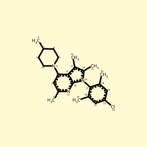 Cc1cc(N2CCC(C)CC2)c2c(C)c(C)n(-c3c(C)cc(Cl)cc3C)c2n1